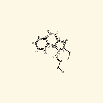 CCC=Nn1c(CC)nc2cnc3cccnc3c21